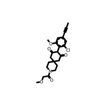 CC#Cc1cc(Cl)c(C2C(=O)CC3(CCN(C(=O)COC)CC3)CC2=O)c(OC)c1